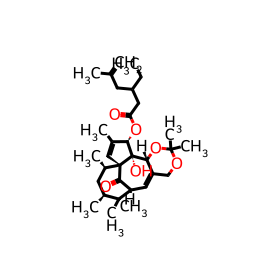 C=C(C)CC(CC)CC(=O)O[C@H]1C(C)=C[C@]23C(=O)[C@@H](C=C4COC(C)(C)O[C@H]4[C@]12O)C(C)(C)[C@@H](C)C[C@H]3C